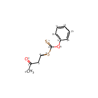 CC(=O)CCSC(=S)Oc1ccccc1